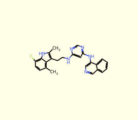 Cc1[nH]c2c(F)ccc(C)c2c1CCNc1cc(Nc2cncc3ccccc23)ncn1